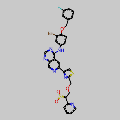 O=S(=O)=C(COCc1nc(-c2cc3c(Nc4ccc(OCc5cccc(F)c5)c(Br)c4)ncnc3cn2)cs1)c1ccccn1